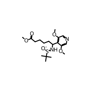 COC(=O)CCCCC(N[S+]([O-])C(C)(C)C)c1c(OC)cncc1OC